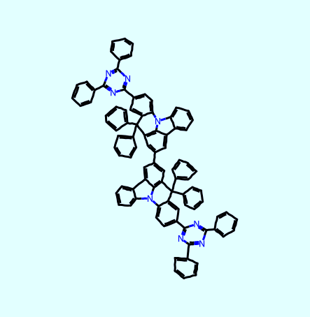 c1ccc(-c2nc(-c3ccccc3)nc(-c3ccc4c(c3)C(c3ccccc3)(c3ccccc3)c3cc(-c5cc6c7c(c5)c5ccccc5n7-c5ccc(-c7nc(-c8ccccc8)nc(-c8ccccc8)n7)cc5C6(c5ccccc5)c5ccccc5)cc5c6ccccc6n-4c35)n2)cc1